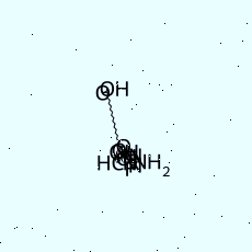 C#C[C@]1(CO)O[C@@H](n2cnc3c(N)nc(F)nc32)C[C@@H]1OC(=O)CCCCCCCCCCCCCCCCCCC(=O)O